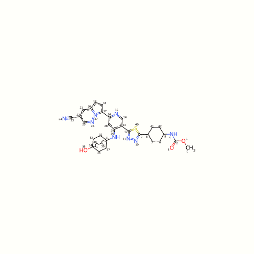 COC(=O)NC1CCC(c2nnc(-c3cnc(-c4ccc5cc(C#N)cnn45)cc3NC34CCC(O)(CC3)CC4)s2)CC1